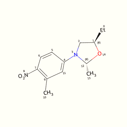 CC[C@@H]1CN(c2ccc([N+](=O)[O-])c(C)c2)[C@@H](C)O1